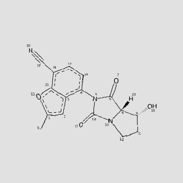 Cc1cc2c(N3C(=O)[C@@H]4[C@H](O)CCN4C3=O)ccc(C#N)c2o1